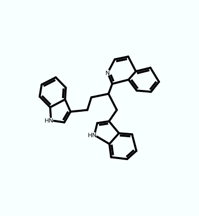 c1ccc2c(C(CCc3c[nH]c4ccccc34)Cc3c[nH]c4ccccc34)nccc2c1